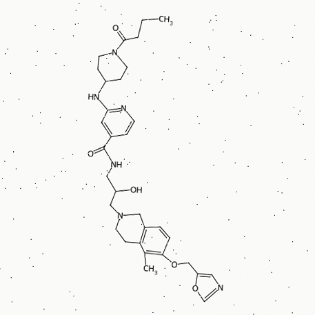 CCCC(=O)N1CCC(Nc2cc(C(=O)NCC(O)CN3CCc4c(ccc(OCc5cnco5)c4C)C3)ccn2)CC1